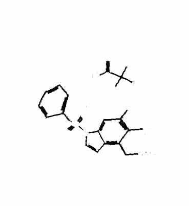 CNCc1c(O)c(F)cc2c1ccn2S(=O)(=O)c1ccccc1.O=C(O)C(F)(F)F